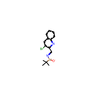 CC(C)(C)[S+]([O-])/N=C/c1nc2ccccc2cc1Br